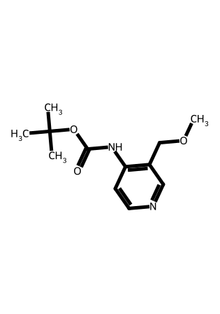 COCc1cnccc1NC(=O)OC(C)(C)C